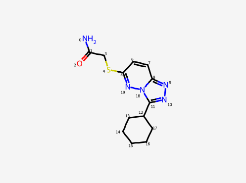 NC(=O)CSc1ccc2nnc(C3CCCCC3)n2n1